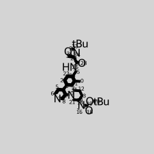 Cc1cc(-c2ccncc2N2CCCC(N(C)C(=O)OC(C)(C)C)C2)ccc1CNC(=O)c1coc(C(C)(C)C)n1